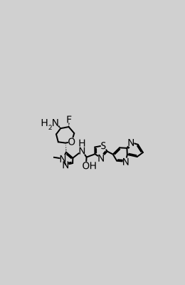 Cn1ncc(NC(O)c2csc(-c3cnc4cccnc4c3)n2)c1[C@@H]1CC[C@@H](N)[C@H](F)CO1